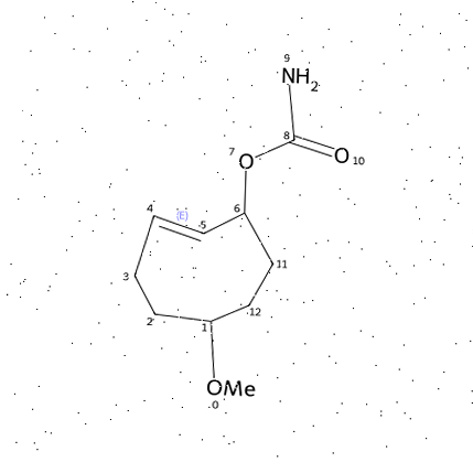 COC1CC/C=C/C(OC(N)=O)CC1